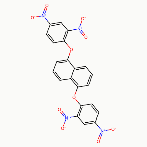 O=[N+]([O-])c1ccc(Oc2cccc3c(Oc4ccc([N+](=O)[O-])cc4[N+](=O)[O-])cccc23)c([N+](=O)[O-])c1